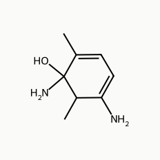 CC1=CC=C(N)C(C)C1(N)O